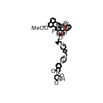 COCOc1cc(-c2ncc3c(N4CC5CCC(C4)N5C(=O)OC(C)(C)C)nc(OCC4(CN5CCC6(CC5)CC(CN5CCN(c7ccc8c(c7)CN([C@H]7CCC(=O)NC7=O)C8=O)CC5)C6)CC4)nc3c2F)c2c(C#C[Si](C(C)C)(C(C)C)C(C)C)cccc2c1